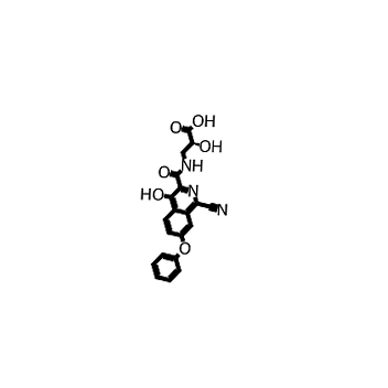 N#Cc1nc(C(=O)NC[C@H](O)C(=O)O)c(O)c2ccc(Oc3ccccc3)cc12